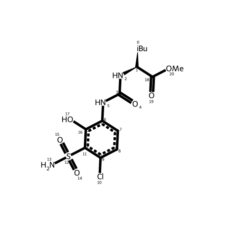 CC[C@H](C)[C@H](NC(=O)Nc1ccc(Cl)c(S(N)(=O)=O)c1O)C(=O)OC